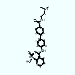 CN(C)CCNC(=O)c1ccc(-c2ccc(Nc3nc(=O)n(O)c4ncccc34)cc2)cc1